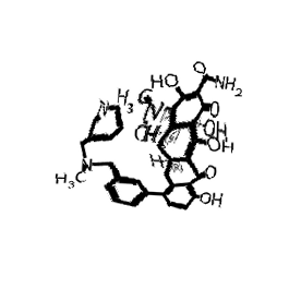 CN(Cc1cccnc1)Cc1cccc(-c2ccc(O)c3c2C[C@H]2C[C@H]4[C@H](N(C)C)C(O)=C(C(N)=O)C(=O)[C@@]4(O)C(O)=C2C3=O)c1